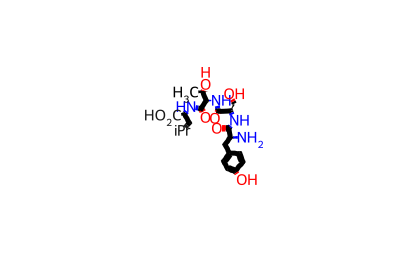 CC(C)C[C@H](NC(=O)[C@@H](NC(=O)[C@H](CO)NC(=O)[C@@H](N)Cc1ccc(O)cc1)[C@@H](C)O)C(=O)O